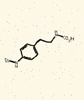 CCNc1ccc(CCNC(=O)O)cc1